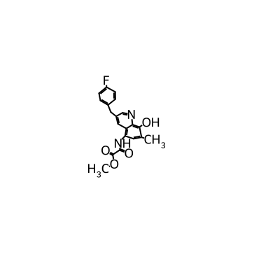 COC(=O)C(=O)Nc1cc(C)c(O)c2ncc(Cc3ccc(F)cc3)cc12